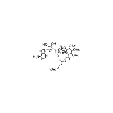 CCCCCCCCCCCCCC(=O)OC[C@H](F)C1OC(OP(=O)(O)OP(O)(=S)OC[C@H]2O[C@@H](n3cnc4c(N)ncnc43)[C@H](O)[C@H]2O)C(OC(C)=O)C(OC(C)=O)C1OC(C)=O